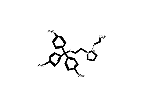 COc1ccc(C(OCCN2CCC[C@H]2CCC(=O)O)(c2ccc(OC)cc2)c2ccc(OC)cc2)cc1